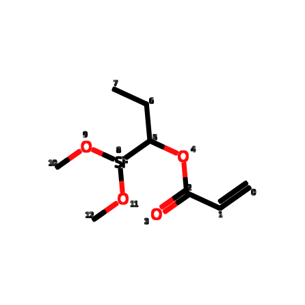 C=CC(=O)OC(CC)[Si](OC)OC